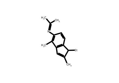 CCC1C(C)=Cc2c1ccc(N=C(C)C)c2C